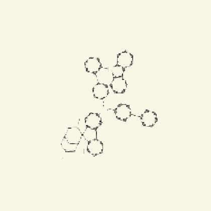 C[C@H]1C[C@@H]2C[C@H](C1)C1(c3ccccc3-c3cc(N(c4ccc(-c5ccccc5)cc4)c4ccc(-c5ccccc5-n5c6ccccc6c6ccccc65)cc4)ccc31)[C@H](C)C2